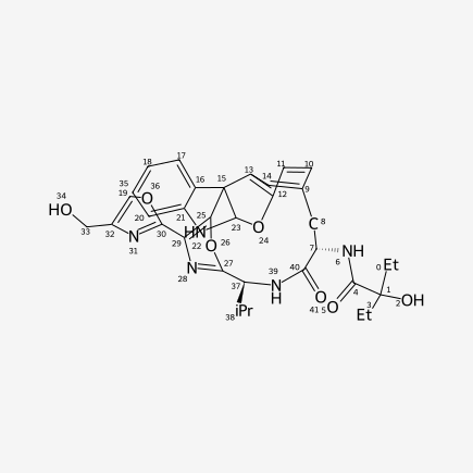 CCC(O)(CC)C(=O)N[C@H]1Cc2ccc3c(c2)C2(c4ccccc4NC2O3)c2oc(nc2-c2nc(CO)co2)[C@H](C(C)C)NC1=O